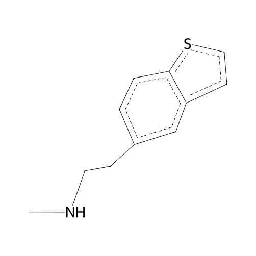 CNCCc1ccc2sccc2c1